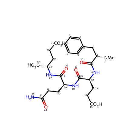 CN[C@@H](Cc1ccccc1)C(=O)N[C@@H](CCC(=O)O)C(=O)N[C@@H](CCC(N)=O)C(=O)N[C@@H](CCC(=O)O)C(=O)O